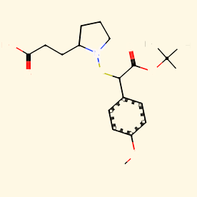 COc1ccc(C(SN2CCCC2CCC(=O)O)C(=O)OC(C)(C)C)cc1